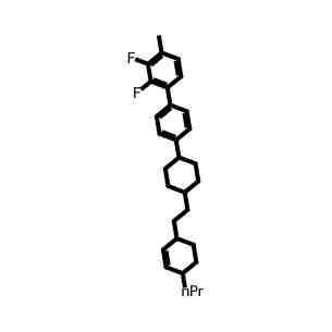 CCCC1C=CC(CCC2CCC(c3ccc(-c4ccc(C)c(F)c4F)cc3)CC2)CC1